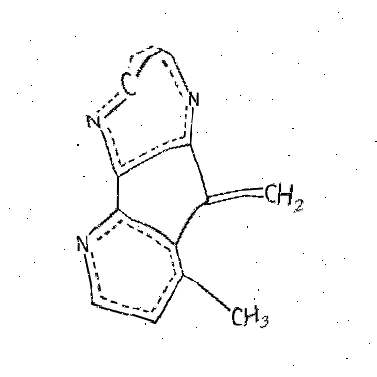 C=C1c2nccnc2-c2nccc(C)c21